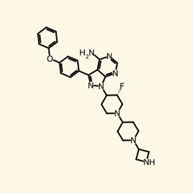 Nc1ncnc2c1c(-c1ccc(Oc3ccccc3)cc1)nn2C1CCN(C2CCN(C3CNC3)CC2)C[C@H]1F